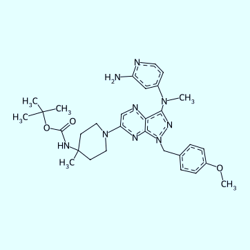 COc1ccc(Cn2nc(N(C)c3ccnc(N)c3)c3ncc(N4CCC(C)(NC(=O)OC(C)(C)C)CC4)nc32)cc1